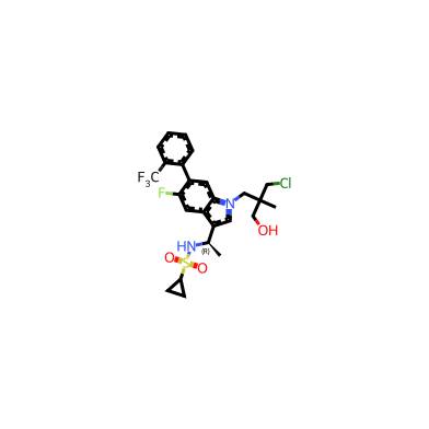 C[C@@H](NS(=O)(=O)C1CC1)c1cn(CC(C)(CO)CCl)c2cc(-c3ccccc3C(F)(F)F)c(F)cc12